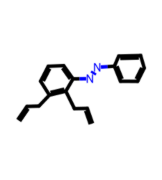 C=CCc1cccc(N=Nc2ccccc2)c1CC=C